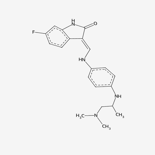 CC(CN(C)C)Nc1ccc(N/C=C2/C(=O)Nc3cc(F)ccc32)cc1